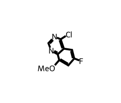 COc1cc(F)cc2c(Cl)ncnc12